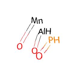 O=P.[O]=[AlH].[O]=[Mn]